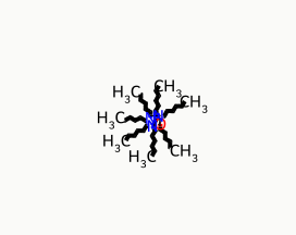 CCCCCC[O][Ti]([N](CCCCCC)CCCCCC)([N](CCCCCC)CCCCCC)[N](CCCCCC)CCCCCC